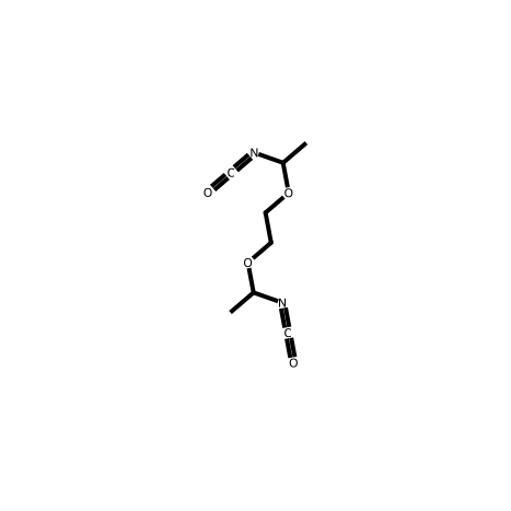 CC(N=C=O)OCCOC(C)N=C=O